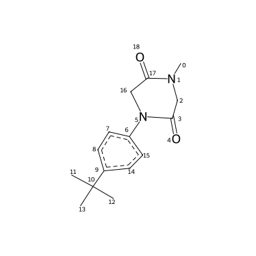 CN1CC(=O)N(c2ccc(C(C)(C)C)cc2)CC1=O